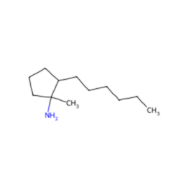 CCCCCCC1CCCC1(C)N